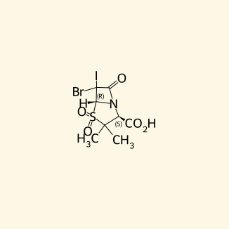 CC1(C)[C@H](C(=O)O)N2C(=O)C(Br)(I)[C@H]2S1(=O)=O